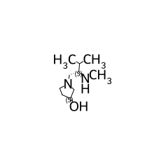 CN[C@H](CN1CC[C@H](O)C1)C(C)C